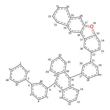 c1ccc(-c2cccc(-c3c4ccccc4c(-c4cccc(-c5ccc6oc7cc8ccccc8cc7c6c5)c4)c4ccccc34)c2)cc1